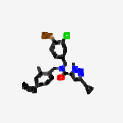 COc1ccc(CN(Cc2ccc(Br)c(Cl)c2)C(=O)c2cc(C3CC3)nn2C)c(C)c1